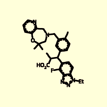 CCn1nnc2c(F)c(C(c3ccc(C)c(CN4Cc5ncccc5OC(C)(C)C4)c3)C(C)C(=O)O)ccc21